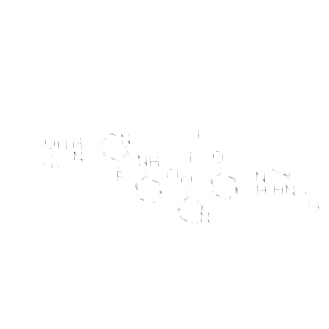 C[C@@H](O)CNCc1ccnc(Nc2cccc(-c3ccnc(-c4ccc(CNC[C@H]5CCC(=O)N5)c(OC(F)F)c4)c3Cl)c2Cl)c1F